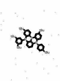 CC(C)(C)c1ccc(N2c3ccc(C(C)(C)C)cc3B3c4ccc(C(C)(C)C)cc4N(c4cc(C(C)(C)C)cc(C(C)(C)C)c4)c4cccc2c43)cc1